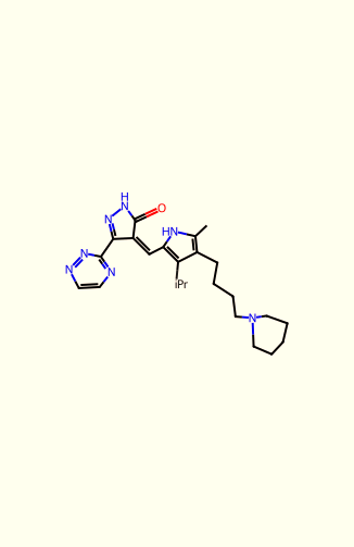 Cc1[nH]c(C=C2C(=O)NN=C2c2nccnn2)c(C(C)C)c1CCCCN1CCCCC1